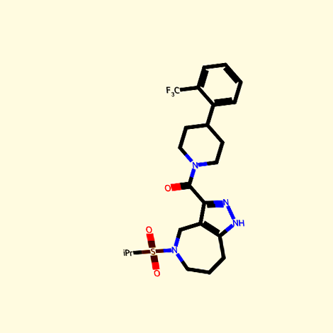 CC(C)S(=O)(=O)N1CCCc2[nH]nc(C(=O)N3CCC(c4ccccc4C(F)(F)F)CC3)c2C1